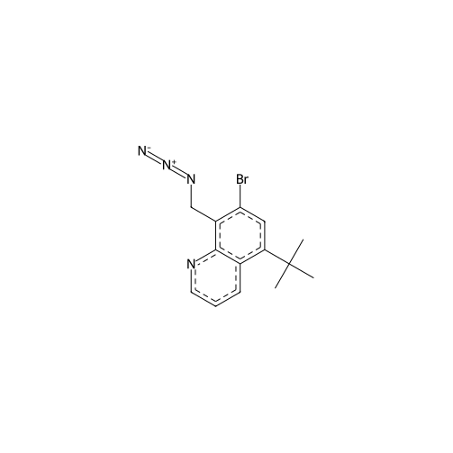 CC(C)(C)c1cc(Br)c(CN=[N+]=[N-])c2ncccc12